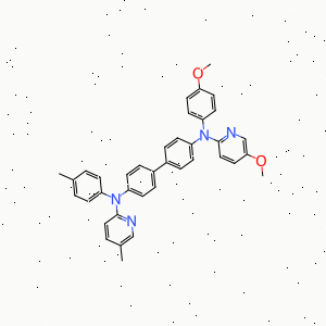 COc1ccc(N(c2ccc(-c3ccc(N(c4ccc(C)cc4)c4ccc(C)cn4)cc3)cc2)c2ccc(OC)cn2)cc1